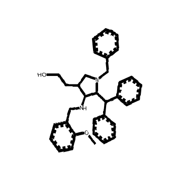 COc1ccccc1CNC1C(CCO)CN(Cc2ccccc2)C1C(c1ccccc1)c1ccccc1